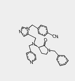 N#Cc1ccc(Cn2cncc2CN(Cc2ccncc2)[C@@H]2CCN(Cc3ccccc3)C2=O)cc1